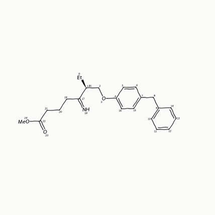 CC[C@@H](COc1ccc(Cc2ccccc2)cc1)C(=N)CCCC(=O)OC